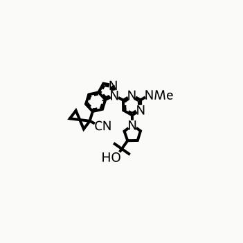 CNc1nc(N2CCC(C(C)(C)O)C2)cc(-n2ncc3ccc(C4(C#N)CC45CC5)cc32)n1